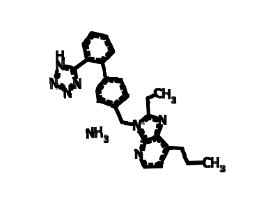 CCCc1ccnc2c1nc(CC)n2Cc1ccc(-c2ccccc2-c2nnn[nH]2)cc1.N